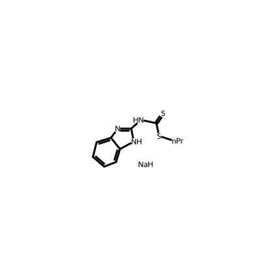 CCCSC(=S)Nc1nc2ccccc2[nH]1.[NaH]